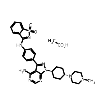 CC(=O)O.CN1CCN([C@H]2CC[C@H](n3nc(-c4ccc(NC5=NS(=O)(=O)c6ccccc65)cc4)c4c(N)ncnc43)CC2)CC1